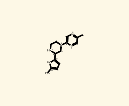 Cc1cnc(N2CCNC(c3ccc(Cl)s3)C2)cn1